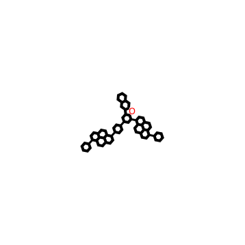 c1ccc(-c2ccc3ccc4c(-c5ccc(-c6cc(-c7ccc8ccc9c(-c%10ccccc%10)ccc%10ccc7c8c%109)c7oc8cc9ccccc9cc8c7c6)cc5)ccc5ccc2c3c54)cc1